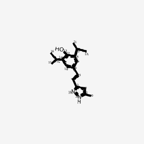 Cc1cc(C=Cc2cc(C(C)C)c(O)c(C(C)C)c2)n[nH]1